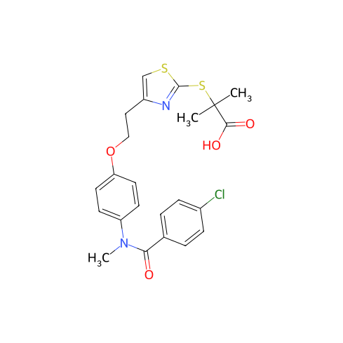 CN(C(=O)c1ccc(Cl)cc1)c1ccc(OCCc2csc(SC(C)(C)C(=O)O)n2)cc1